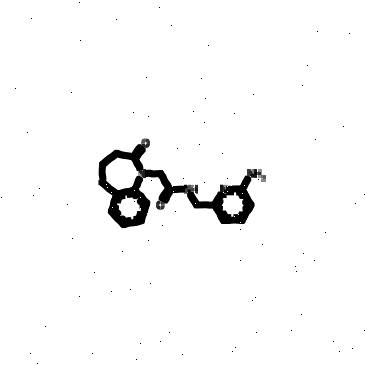 Nc1cccc(CNC(=O)CN2C(=O)CC[C]c3ccccc32)n1